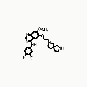 COc1cc2ncnc(Nc3ccc(F)c(Cl)c3)c2cc1OCCN1CCC2(CCNC2)C1